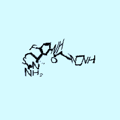 C[C@@]1(c2cc(NC(=O)CCN3CCNCC3)ccc2F)CCSC(N)=N1